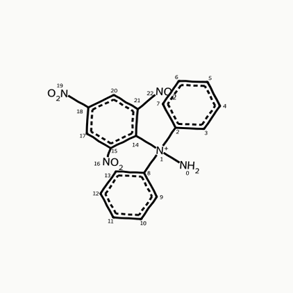 N[N+](c1ccccc1)(c1ccccc1)c1c([N+](=O)[O-])cc([N+](=O)[O-])cc1[N+](=O)[O-]